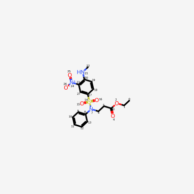 CCOC(=O)CCN(c1ccccc1)S(=O)(=O)c1ccc(NC)c([N+](=O)[O-])c1